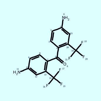 Nc1ccc(C(=O)c2ccc(N)cc2C(F)(F)F)c(C(F)(F)F)c1